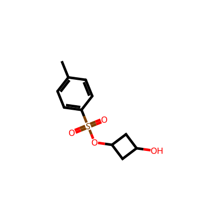 Cc1ccc(S(=O)(=O)OC2CC(O)C2)cc1